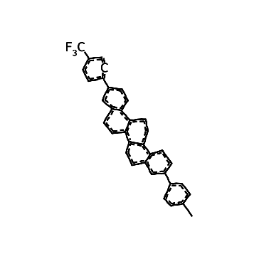 Cc1ccc(-c2ccc3c(ccc4c3ccc3c5ccc(-c6ccc(C(F)(F)F)cc6)cc5ccc34)c2)cc1